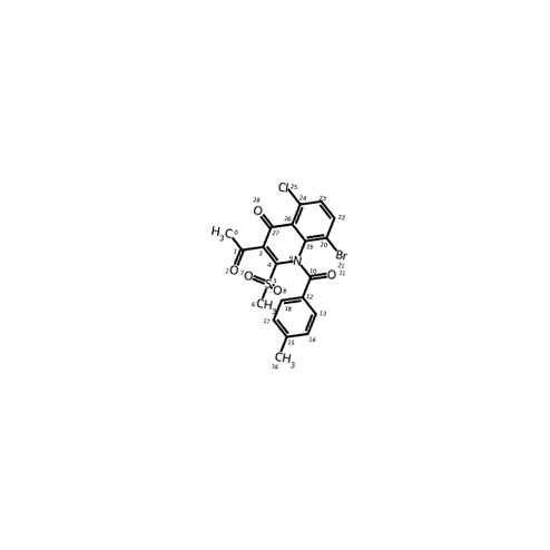 CC(=O)c1c(S(C)(=O)=O)n(C(=O)c2ccc(C)cc2)c2c(Br)ccc(Cl)c2c1=O